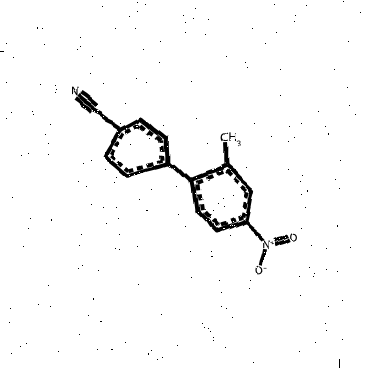 Cc1cc([N+](=O)[O-])ccc1-c1ccc(C#N)cc1